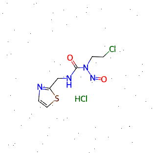 Cl.O=NN(CCCl)C(=O)NCc1nccs1